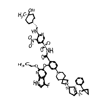 CCOc1nc2[nH]cc(F)c2cc1Oc1cc(N2CCC3(CC2)CN([C@H]2CCC[C@H]2c2ccccc2C2(C)CC2)C3)ccc1C(=O)NS(=O)(=O)c1cnc(NC[C@H]2CC[C@](C)(O)CC2)c([N+](=O)[O-])c1